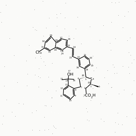 C[C@@H](CC(=O)O)S[C@H](CCc1ccccc1C(C)(C)O)c1cccc(C=Cc2ccc3ccc(Cl)cc3n2)c1